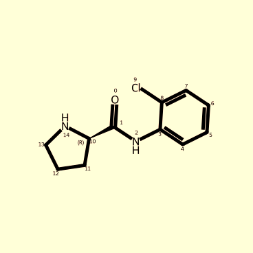 O=C(Nc1ccccc1Cl)[C@H]1CCCN1